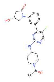 CC(=O)N1CCC(Nc2ncc(F)c(-c3cccc(N4C[C@H](O)CC4=O)c3)n2)CC1